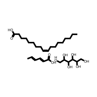 C/C=C/C=C/C(=O)O.CCCCCCCC/C=C\CCCCCCCC(=O)O.OCC(O)C(O)C(O)C(O)CO